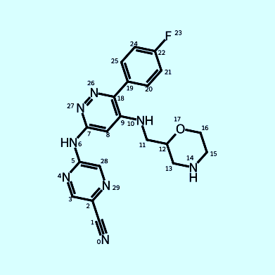 N#Cc1cnc(Nc2cc(NCC3CNCCO3)c(-c3ccc(F)cc3)nn2)cn1